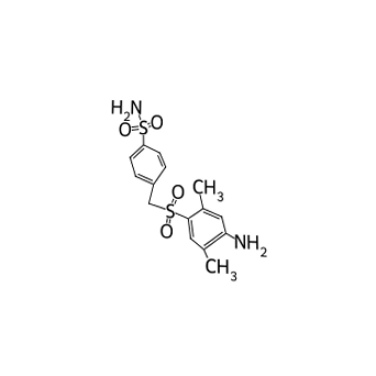 Cc1cc(S(=O)(=O)Cc2ccc(S(N)(=O)=O)cc2)c(C)cc1N